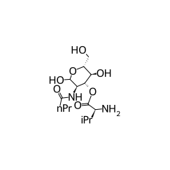 CCCC(=O)N[C@H]1C(O)O[C@H](CO)[C@@H](O)[C@@H]1OC(=O)[C@@H](N)C(C)C